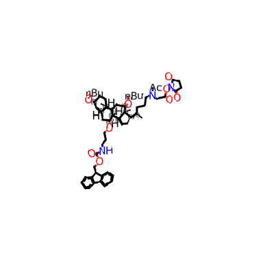 CCCCO[C@@H]1CC[C@@]2(C)[C@@H](C1)C[C@@H](OCCCNC(=O)OCC1c3ccccc3-c3ccccc31)[C@@H]1[C@@H]2C[C@H](OCCCC)[C@]2(C)[C@@H]([C@H](C)CCCN(CC(=O)ON3C(=O)CCC3=O)C(C)=O)CC[C@@H]12